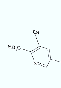 N#Cc1cc(Cl)cnc1C(=O)O